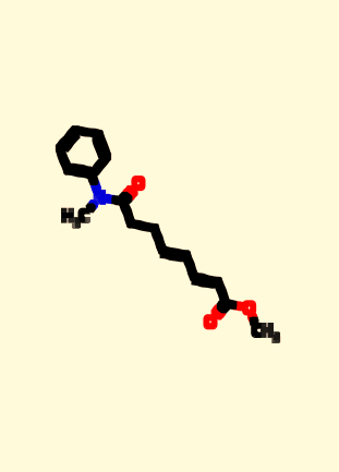 COC(=O)C=CC=CCCC(=O)N(C)c1ccccc1